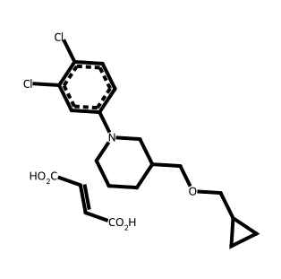 Clc1ccc(N2CCCC(COCC3CC3)C2)cc1Cl.O=C(O)/C=C/C(=O)O